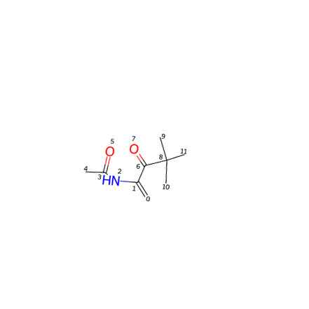 C=C(NC(C)=O)C(=O)C(C)(C)C